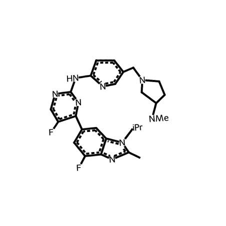 CNC1CCN(Cc2ccc(Nc3ncc(F)c(-c4cc(F)c5nc(C)n(C(C)C)c5c4)n3)nc2)C1